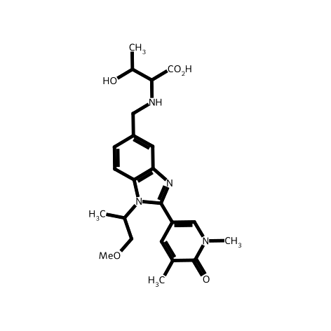 COCC(C)n1c(-c2cc(C)c(=O)n(C)c2)nc2cc(CNC(C(=O)O)C(C)O)ccc21